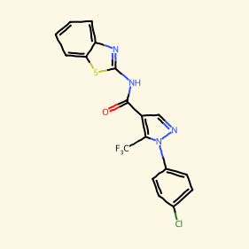 O=C(Nc1nc2ccccc2s1)c1cnn(-c2ccc(Cl)cc2)c1C(F)(F)F